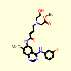 COc1cc2ncnc(Nc3cccc(Br)c3)c2cc1NC(=O)C=CCN(CCO)CC(=O)OC(C)(C)C